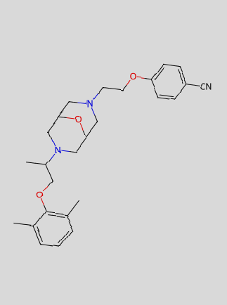 Cc1cccc(C)c1OCC(C)N1CC2CN(CCOc3ccc(C#N)cc3)CC(C1)O2